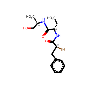 O=C(O)C[C@H](NC(=O)[C@@H](S)Cc1ccccc1)C(=O)N[C@@H](CO)C(=O)O